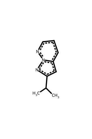 CC(C)c1cc2cccnn2n1